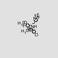 CNC(=O)[C@H](N[C@@H](CCc1ccc(C(F)(F)F)nc1)c1ccc(F)c(OC)c1)c1ccc(Cl)cc1